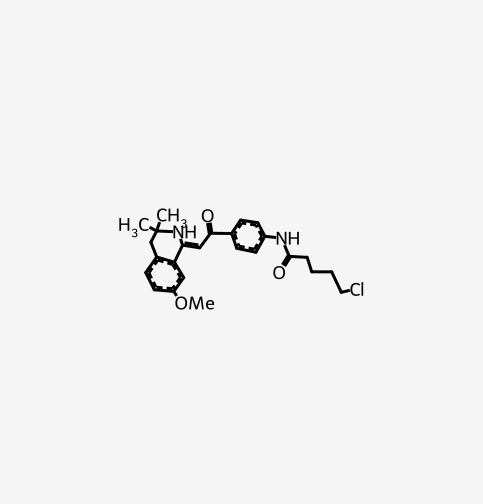 COc1ccc2c(c1)C(=CC(=O)c1ccc(NC(=O)CCCCCl)cc1)NC(C)(C)C2